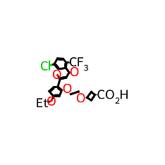 CCOc1ccc(-c2cc(=O)c3c(C(F)(F)F)ccc(Cl)c3o2)c(OCCO[C@H]2C[C@@H](C(=O)O)C2)c1